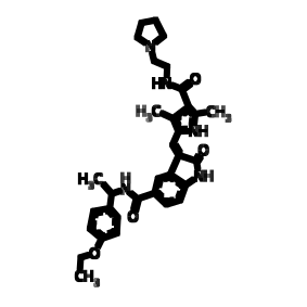 CCOc1ccc(C(C)NC(=O)c2ccc3c(c2)C(=Cc2[nH]c(C)c(C(=O)NCCN4CCCC4)c2C)C(=O)N3)cc1